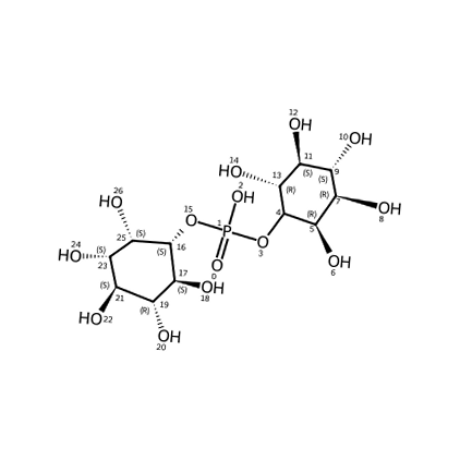 O=P(O)(OC1[C@H](O)[C@H](O)[C@@H](O)[C@H](O)[C@H]1O)O[C@@H]1[C@@H](O)[C@H](O)[C@@H](O)[C@H](O)[C@@H]1O